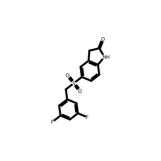 O=C1Cc2cc(S(=O)(=O)Cc3cc(F)cc(F)c3)ccc2N1